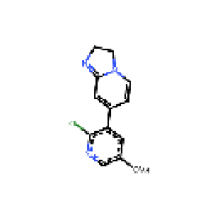 COc1cnc(Cl)c(C2=CC3=NCCN3C=C2)c1